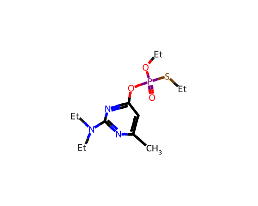 CCOP(=O)(Oc1cc(C)nc(N(CC)CC)n1)SCC